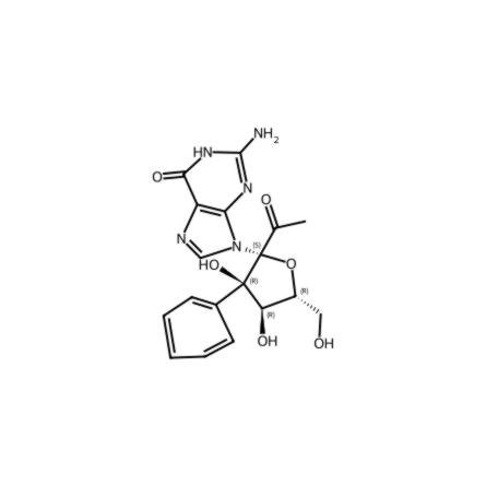 CC(=O)[C@@]1(n2cnc3c(=O)[nH]c(N)nc32)O[C@H](CO)[C@@H](O)[C@]1(O)c1ccccc1